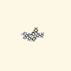 C1=Cc2c(c3ccccc3c3c2nc(-c2ccccc2)n3-c2cccc(-c3cccc(-c4cc(-c5ccccc5)nc(-c5ccccc5)n4)c3)c2)NC1